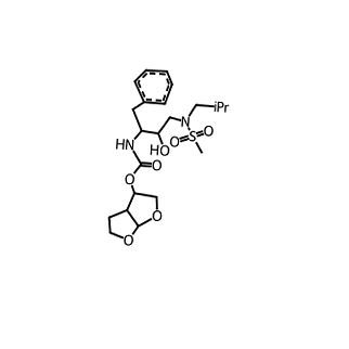 CC(C)CN(CC(O)C(Cc1ccccc1)NC(=O)OC1COC2OCCC12)S(C)(=O)=O